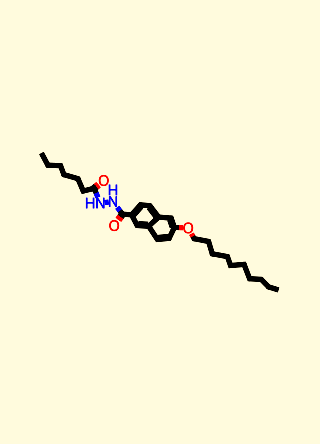 CCCCCCCCCCOc1ccc2cc(C(=O)NNC(=O)CCCCCC)ccc2c1